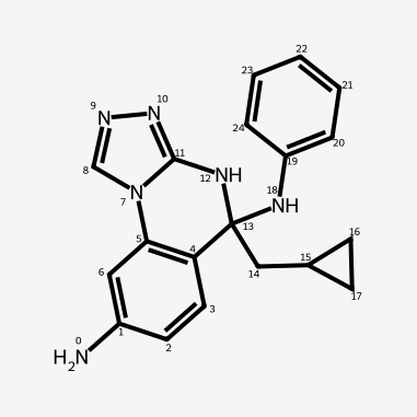 Nc1ccc2c(c1)-n1cnnc1NC2(CC1CC1)Nc1ccccc1